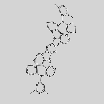 Cc1cc(C)cc(N(c2ccccc2)c2cccc3c2c2cccc4c5cc6c(cc5n3c42)c2cccc3c4c(N(c5ccccc5)c5cc(C)ccc5C)cccc4n6c23)c1